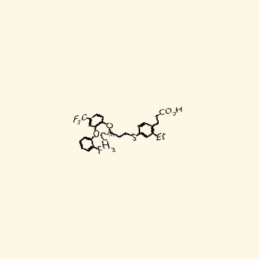 CCc1cc(SCC[C@H](C)Oc2ccc(C(F)(F)F)cc2Oc2ccccc2F)ccc1CCC(=O)O